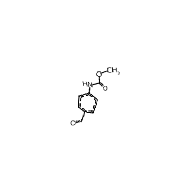 COC(=O)Nc1ccc(C=O)cc1